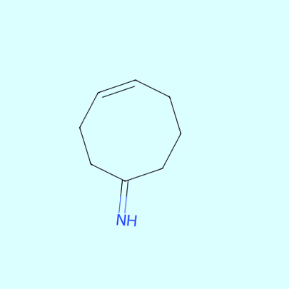 N=C1CC/C=C\CCC1